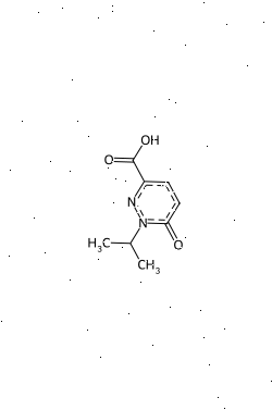 CC(C)n1nc(C(=O)O)ccc1=O